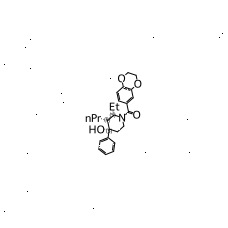 CCC[C@@H]1[C@H](CC)N(C(=O)c2ccc3c(c2)OCCO3)CC[C@@]1(O)c1ccccc1